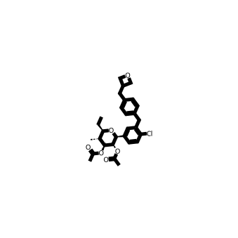 CC[C@H]1O[C@@H](c2ccc(Cl)c(Cc3ccc(CC4COC4)cc3)c2)[C@H](OC(C)=O)[C@@H](OC(C)=O)[C@@H]1C